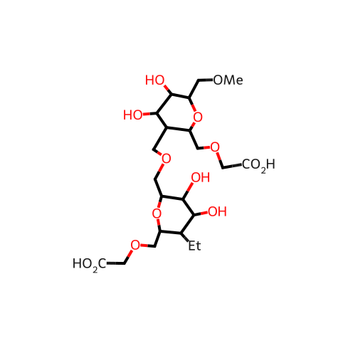 CCC1C(COCC(=O)O)OC(COCC2C(COCC(=O)O)OC(COC)C(O)C2O)C(O)C1O